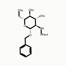 CCCCCN[C@H]1[C@H](OCc2ccccc2)O[C@H](COC(C)=O)[C@@H](OC(C)=O)[C@@H]1OC(C)=O